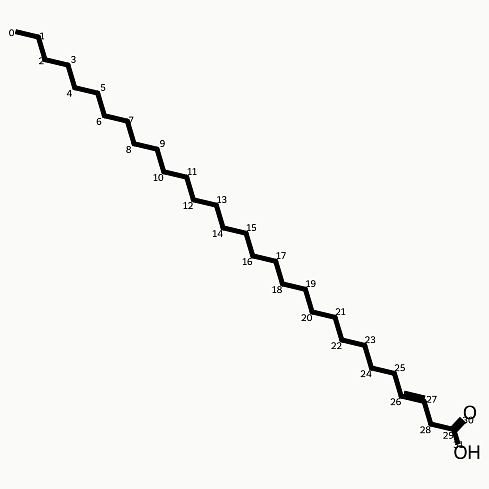 CCCCCCCCCCCCCCCCCCCCCCCCCCC=CCC(=O)O